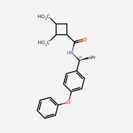 CCC[C@H](NC(=O)C1CC(C(=O)O)C1C(=O)O)c1ccc(Oc2ccccc2)cc1